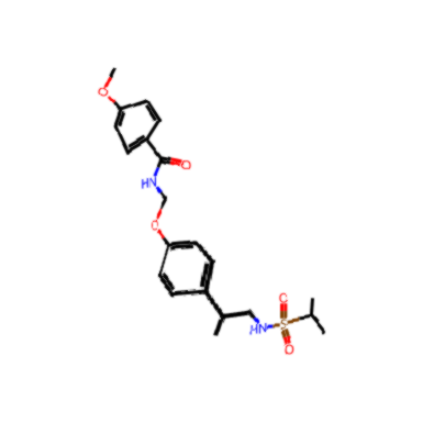 COc1ccc(C(=O)NCOc2ccc(C(C)CNS(=O)(=O)C(C)C)cc2)cc1